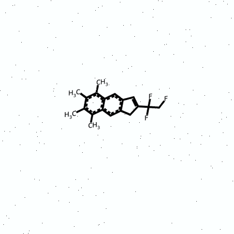 Cc1c(C)c(C)c2cc3c(cc2c1C)C=C(C(F)(F)CF)C3